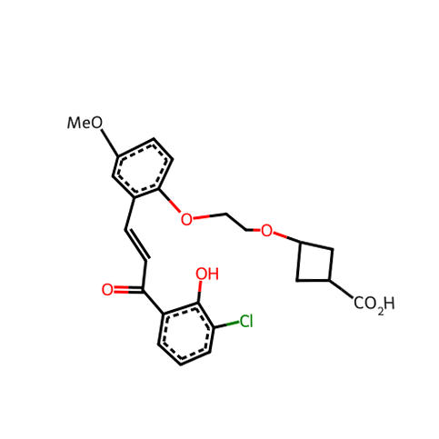 COc1ccc(OCCOC2CC(C(=O)O)C2)c(/C=C/C(=O)c2cccc(Cl)c2O)c1